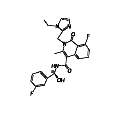 CCn1ccnc1Cn1c(C)c(C(=O)N[C@@H](O)c2cccc(F)c2)c2cccc(F)c2c1=O